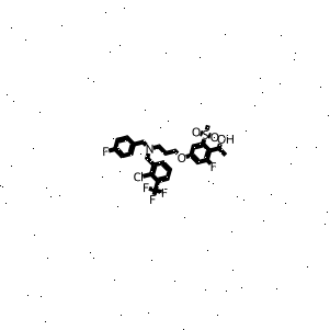 CC(O)c1c(F)cc(OCCCN(Cc2ccc(F)cc2)Cc2cccc(C(F)(F)F)c2Cl)cc1S(C)(=O)=O